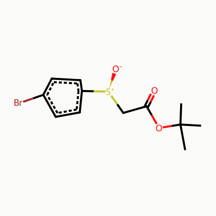 CC(C)(C)OC(=O)C[S@+]([O-])c1ccc(Br)cc1